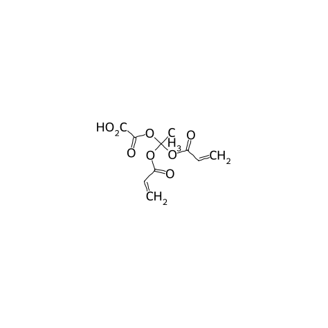 C=CC(=O)OC(C)(OC(=O)C=C)OC(=O)C(=O)O